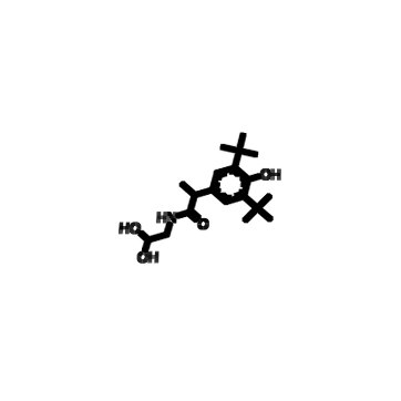 CC(C(=O)NCC(O)O)c1cc(C(C)(C)C)c(O)c(C(C)(C)C)c1